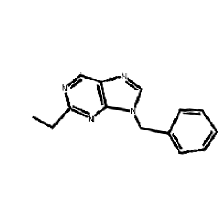 CCc1n[c]c2ncn(Cc3ccccc3)c2n1